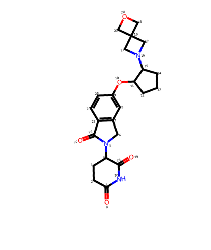 O=C1CCC(N2Cc3cc(OC4CCCC4N4CC5(COC5)C4)ccc3C2=O)C(=O)N1